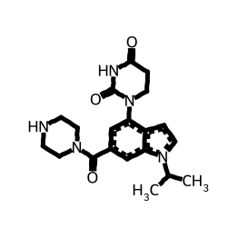 CC(C)n1ccc2c(N3CCC(=O)NC3=O)cc(C(=O)N3CCNCC3)cc21